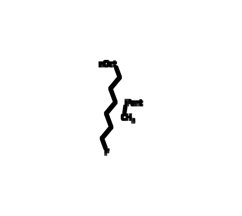 CCCC(C)C.CCCCCCCCCCCCCCF